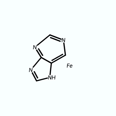 [Fe].c1ncc2[nH]cnc2n1